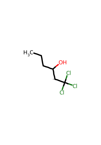 CCCC(O)[CH]C(Cl)(Cl)Cl